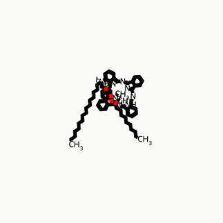 CCCCCCCCCCCCCCC[CH2][Zn]([I])([CH2]CCCCCCCCCCCCCCC)([O]c1cccc([N+](C)(C)C)c1)[c]1cccc2c3nc4nc(nc5[nH]c(nc6nc(nc([nH]3)c12)-c1ccccc1-6)c1ccccc51)-c1ccccc1-4